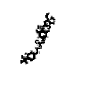 CC[N+](CC)(CC)CC(=O)Nc1c(C)cc(OC(=O)OCCc2ccc(C(F)(F)F)cc2)cc1C